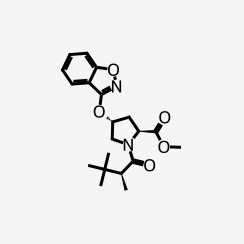 COC(=O)[C@@H]1C[C@@H](Oc2noc3ccccc23)CN1C(=O)[C@@H](C)C(C)(C)C